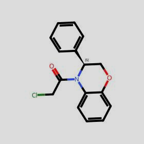 O=C(CCl)N1c2ccccc2OC[C@@H]1c1ccccc1